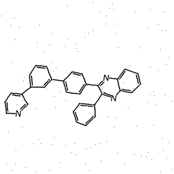 c1ccc(-c2nc3ccccc3nc2-c2ccc(-c3cccc(-c4cccnc4)c3)cc2)cc1